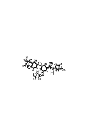 CN1Oc2ccc(Oc3cc(O[C@H]4CCOC4)cc(C(=O)Nc4ccn(C)n4)c3)cc2OC1(C)C